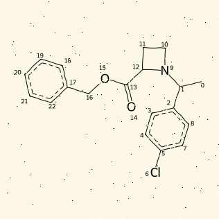 CC(c1ccc(Cl)cc1)N1CCC1C(=O)OCc1ccccc1